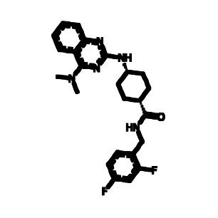 CN(C)c1nc(N[C@H]2CC[C@@H](C(=O)NCc3ccc(F)cc3F)CC2)nc2ccccc12